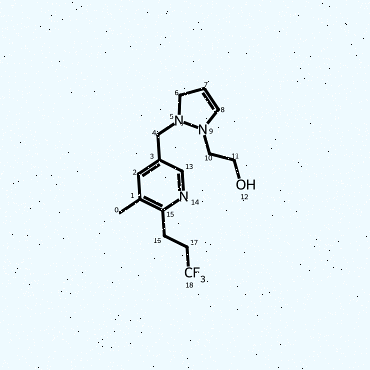 Cc1cc(CN2CC=CN2CCO)cnc1CCC(F)(F)F